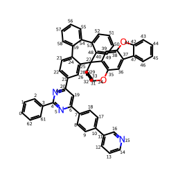 c1ccc(-c2nc(-c3ccc(-c4cccnc4)cc3)cc(-c3ccc4c(c3)C3(c5ccccc5Oc5cc6c(cc53)oc3ccccc36)c3ccccc3-c3ccccc3-4)n2)cc1